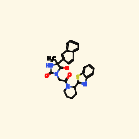 CC1(c2ccc3ccccc3c2)NC(=O)N(CC(=O)N2CCCCC2c2nc3ccccc3s2)C1=O